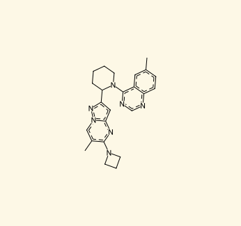 Cc1ccc2ncnc(N3CCCCC3c3cc4nc(N5CCC5)c(C)cn4n3)c2c1